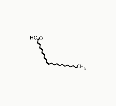 CCCCCCCCCCC/C=C\C=C\C=CC=CC=CC(=O)O